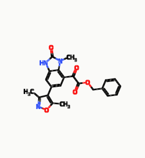 Cc1noc(C)c1-c1cc(C(=O)C(=O)OCc2ccccc2)c2c(c1)[nH]c(=O)n2C